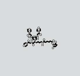 O=C(CCCCC(=O)ON1C(=O)CCC1=O)NCCCC[C@@H](C(=O)NCC(=O)N1CCOCC1)N(CC(=O)NCC(=O)N1CCOCC1)CC(=O)NCC(=O)N1CCOCC1